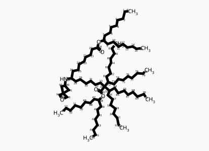 CCCCCCCCC(CCCCCCCC)OC(=O)CCCCCCCC(CCCCCCC(C(=O)OC(CCCCCCCC)CCCCCCCC)(C(CCCCCCCC)CCCCCCCC)C(CCCCCCCC)CCCCCCCC)NC1CC2(COC2)C1